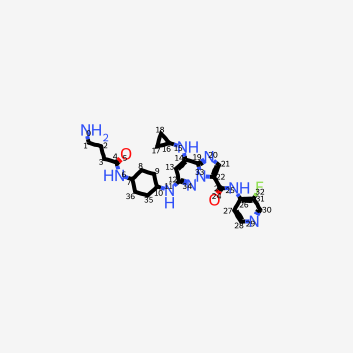 NCCCC(=O)NC1CCC(Nc2cc(NC3CC3)c3ncc(C(=O)Nc4ccncc4F)n3n2)CC1